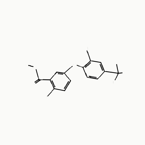 COC(=O)c1cc(Oc2ccc(C(F)(F)F)cc2Cl)ccc1I